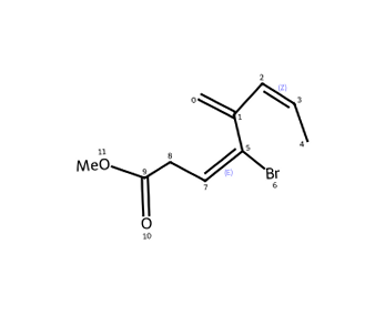 C=C(/C=C\C)/C(Br)=C\CC(=O)OC